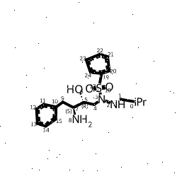 CC(C)CNN(C[C@@H](O)[C@@H](N)Cc1ccccc1)S(=O)(=O)c1ccccc1